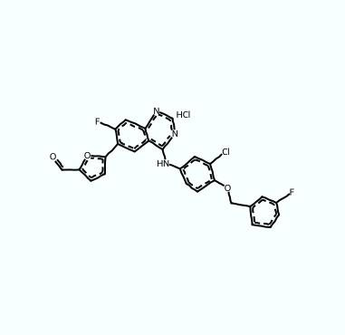 Cl.O=Cc1ccc(-c2cc3c(Nc4ccc(OCc5cccc(F)c5)c(Cl)c4)ncnc3cc2F)o1